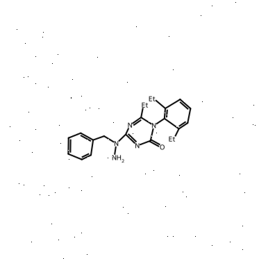 CCc1cccc(CC)c1-n1c(CC)nc(N(N)Cc2ccccc2)nc1=O